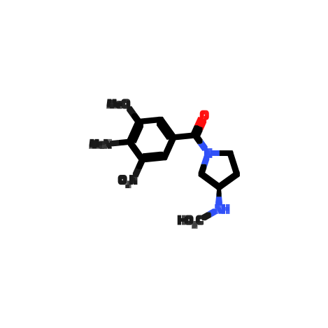 CNc1c(OC)cc(C(=O)N2CC[C@@H](NC(=O)O)C2)cc1[N+](=O)[O-]